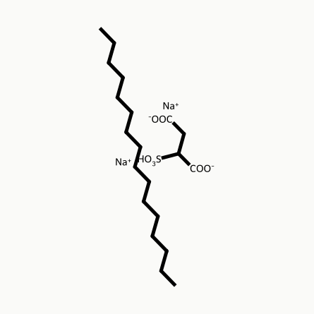 CCCCCCCCCCCCCCCC.O=C([O-])CC(C(=O)[O-])S(=O)(=O)O.[Na+].[Na+]